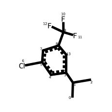 CC(C)c1cc(Cl)[c]c(C(F)(F)F)c1